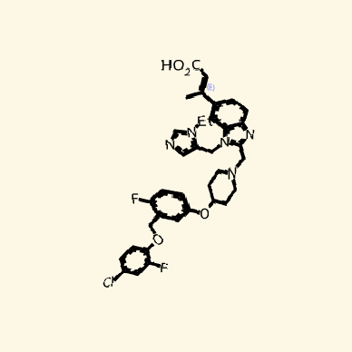 CCn1cncc1Cn1c(CN2CCC(Oc3ccc(F)c(COc4ccc(Cl)cc4F)c3)CC2)nc2ccc(/C(C)=C/C(=O)O)cc21